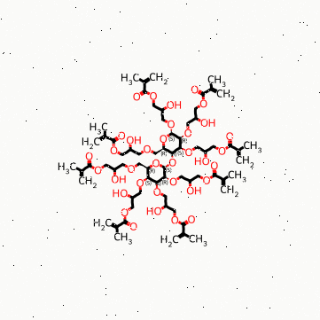 C=C(C)C(=O)OCC(O)COC[C@H]1O[C@@H](O[C@H]2[C@H](OCC(O)COC(=O)C(=C)C)[C@@H](OCC(O)COC(=O)C(=C)C)[C@@H](OCC(O)COC(=O)C(=C)C)O[C@@H]2COCC(O)COC(=O)C(=C)C)[C@H](OCC(O)COC(=O)C(=C)C)[C@@H](OCC(O)COC(=O)C(=C)C)[C@H]1OCC(O)COC(=O)C(=C)C